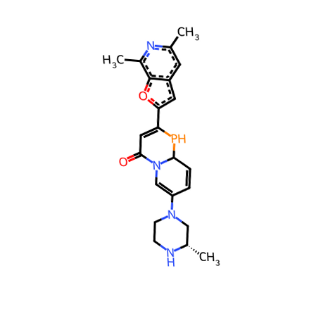 Cc1cc2cc(C3=CC(=O)N4C=C(N5CCN[C@@H](C)C5)C=CC4P3)oc2c(C)n1